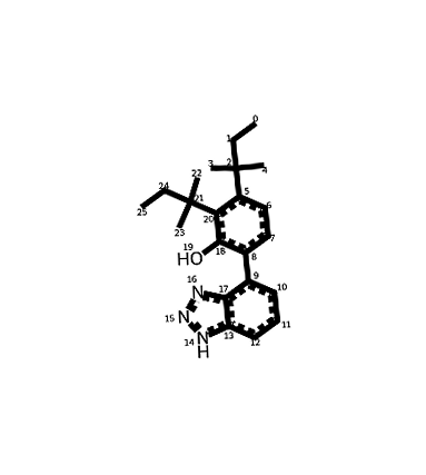 CCC(C)(C)c1ccc(-c2cccc3[nH]nnc23)c(O)c1C(C)(C)CC